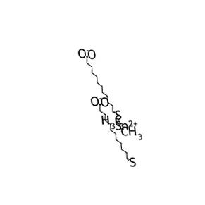 O=C([O-])CCCCCCCCCCC=S.O=C([O-])CCCCCCCCCCC=S.[CH3][Sn+2][CH3]